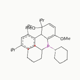 COC1=C(P(C2CCCCC2)C2CCCCC2)C(c2ccc(C(C)C)cc2C(C)C)C(OC)(C(C)C)C=C1